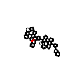 c1cc(-c2ccc3ccccc3c2)cc(-c2c3ccccc3c(-c3c4ccccc4c(-c4ccc(-c5c6ccccc6c(-c6c7ccccc7cc7oc8ccccc8c67)c6ccccc56)c(-c5ccc6ccccc6c5)c4)c4oc5ccccc5c34)c3ccccc23)c1